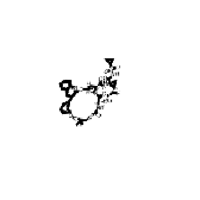 CC1(C)COC(=O)N[C@@H](C(C)(C)C)C(=O)N2C[C@@H](C[C@H]2C(=O)N[C@]2(C(=O)NS(=O)(=O)C3CC3)C[C@H]2C(F)F)Oc2nc3ccccc3cc2-c2cccc(c2)OC1